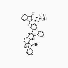 CC1(O)CC(c2ccc(-c3nc4ccc(=N)n(C(=N)c5cccnc5)c4nc3-c3ccccc3)cc2)(N2C(=O)c3ccccc3C2=O)C1